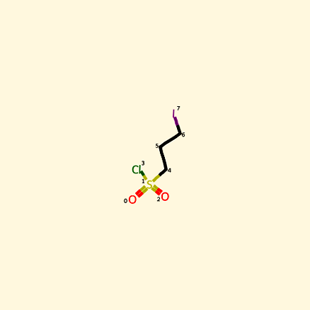 O=S(=O)(Cl)CCCI